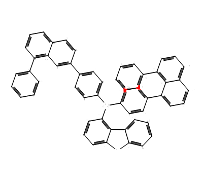 c1ccc(-c2cccc3ccc(-c4ccc(N(c5ccc(-c6cccc7cccc(-c8ccccc8)c67)cc5)c5cccc6sc7ccccc7c56)cc4)cc23)cc1